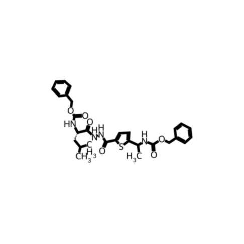 CC(C)C[C@H](NC(=O)OCc1ccccc1)C(=O)NNC(=O)c1ccc(C(C)NC(=O)OCc2ccccc2)s1